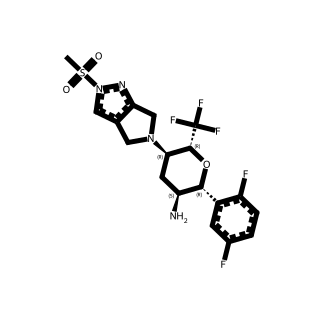 CS(=O)(=O)n1cc2c(n1)CN([C@@H]1C[C@H](N)[C@@H](c3cc(F)ccc3F)O[C@H]1C(F)(F)F)C2